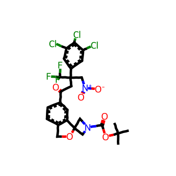 CC(C)(C)OC(=O)N1CC2(C1)OCc1ccc(C(=O)CC(C[N+](=O)[O-])(c3cc(Cl)c(Cl)c(Cl)c3)C(F)(F)F)cc12